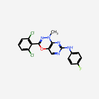 CN1N=C(c2c(Cl)cccc2Cl)Oc2cnc(Nc3ccc(F)cc3)nc21